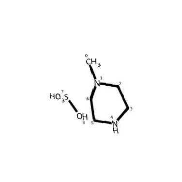 CN1CCNCC1.O=S(=O)(O)O